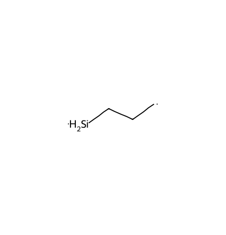 [CH2]CC[SiH2]